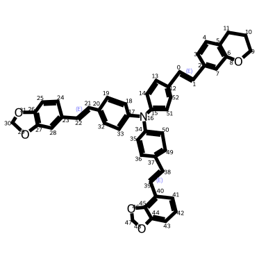 C(=C\c1ccc2c(c1)OCCC2)/c1ccc(N(c2ccc(/C=C/c3ccc4c(c3)OCO4)cc2)c2ccc(/C=C/c3cccc4c3OCO4)cc2)cc1